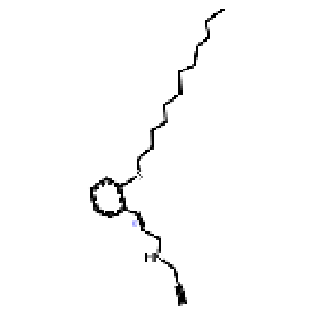 C#CCNC/C=C/c1ccccc1SCCCCCCCCCCCC